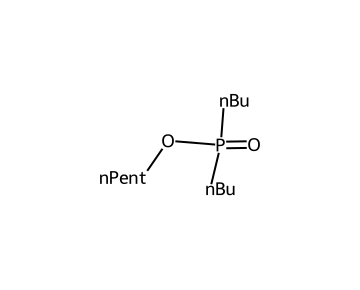 CCCCCOP(=O)(CCCC)CCCC